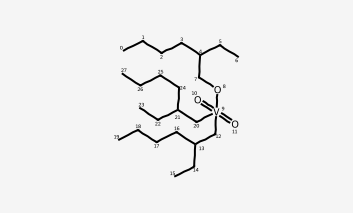 CCCCC(CC)C[O][V](=[O])(=[O])([CH2]C(CC)CCCC)[CH2]C(CC)CCCC